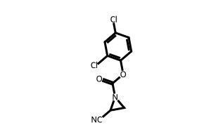 N#CC1CN1C(=O)Oc1ccc(Cl)cc1Cl